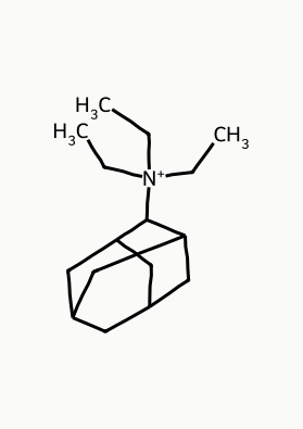 CC[N+](CC)(CC)C1C2CC3CC(C2)CC1C3